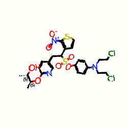 C[C@H](O)[C@H](C)Oc1ccc(CC(c2ccsc2[N+](=O)[O-])S(=O)(=O)Oc2ccc(N(CCCl)CCCl)cc2)cn1